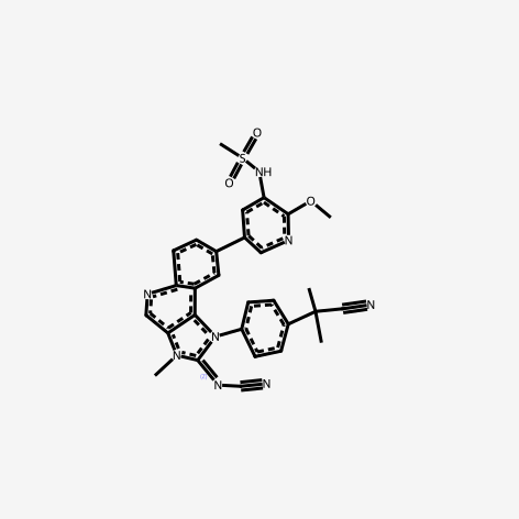 COc1ncc(-c2ccc3ncc4c(c3c2)n(-c2ccc(C(C)(C)C#N)cc2)/c(=N\C#N)n4C)cc1NS(C)(=O)=O